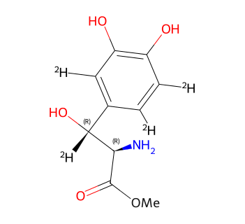 [2H]c1c([2H])c([C@@]([2H])(O)[C@@H](N)C(=O)OC)c([2H])c(O)c1O